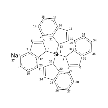 C1=CC([Si](C2C=Cc3ccccc32)(C2C=Cc3ccccc32)C2C=Cc3ccccc32)c2ccccc21.[Na]